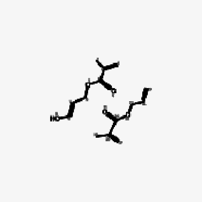 C=C(C)C(=O)OCC=CO.C=CCOC(=O)C(=C)C